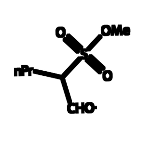 CCCC([C]=O)S(=O)(=O)OC